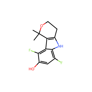 CC1(C)OCCc2[nH]c3c(F)cc(O)c(F)c3c21